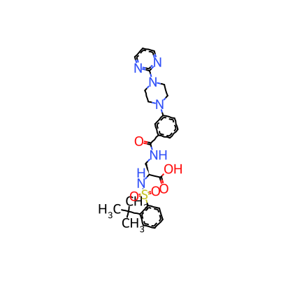 CC(C)(C)c1ccccc1S(=O)(=O)N[C@@H](CNC(=O)c1cccc(N2CCN(c3ncccn3)CC2)c1)C(=O)O